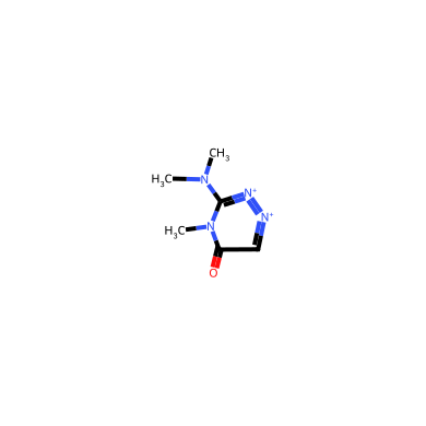 CN(C)C1=[N+]=[N+]=CC(=O)N1C